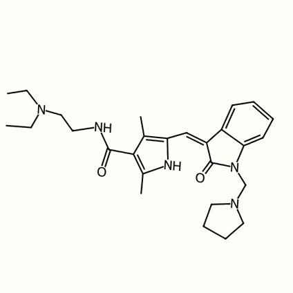 CCN(CC)CCNC(=O)c1c(C)[nH]c(C=C2C(=O)N(CN3CCCC3)c3ccccc32)c1C